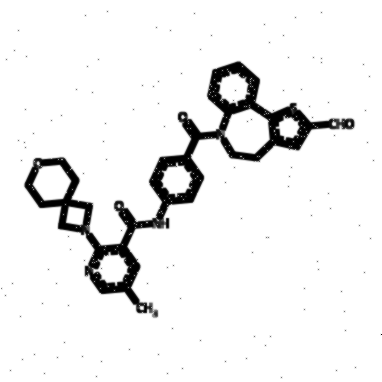 Cc1cnc(N2CC3(CCOCC3)C2)c(C(=O)Nc2ccc(C(=O)N3CCc4cc(C=O)sc4-c4ccccc43)cc2)c1